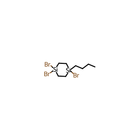 CCCC[Si]1(Br)CC[Si](Br)(Br)CC1